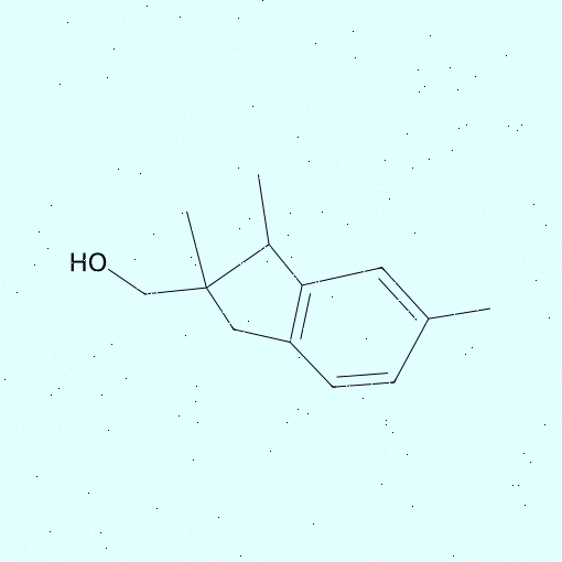 Cc1ccc2c(c1)C(C)C(C)(CO)C2